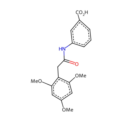 COc1cc(OC)c(CC(=O)Nc2cccc(C(=O)O)c2)c(OC)c1